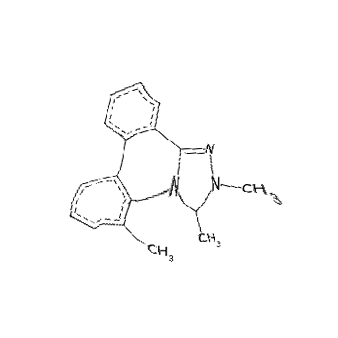 Cc1cccc2c1N1C(=NN(C)C1C)c1ccccc1-2